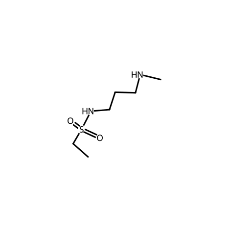 CCS(=O)(=O)NCCCNC